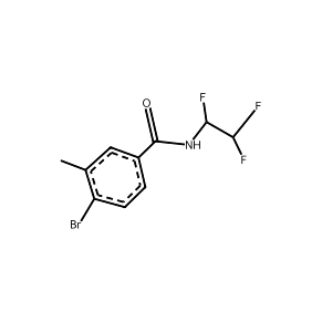 Cc1cc(C(=O)NC(F)C(F)F)ccc1Br